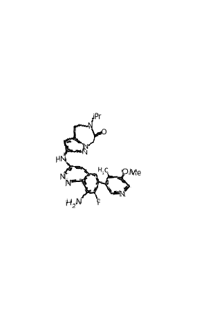 COc1cncc(-c2cc3cc(Nc4cc5n(n4)CC(=O)N(C(C)C)CC5)nnc3c(N)c2F)c1C